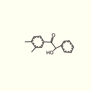 Cc1ccc(C(=O)C(O)c2ccccc2)cc1C